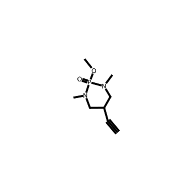 C#CC1CN(C)P(=O)(OC)N(C)C1